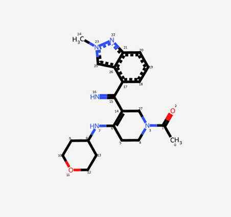 CC(=O)N1CCC(NC2CCOCC2)=C(C(=N)c2cccc3nn(C)cc23)C1